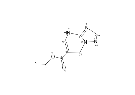 CCOC(=O)C1=CNc2ncnn2C1